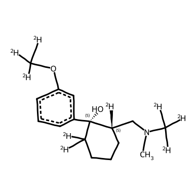 [2H]C([2H])([2H])Oc1cccc([C@]2(O)C([2H])([2H])CCC[C@@]2([2H])CN(C)C([2H])([2H])[2H])c1